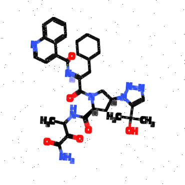 CC(NC(=O)[C@@H]1C[C@H](n2nncc2C(C)(C)O)CN1C(=O)/C(CC1CCCCC1)=N/C(=O)c1ccnc2ccccc12)C(=O)C(N)=O